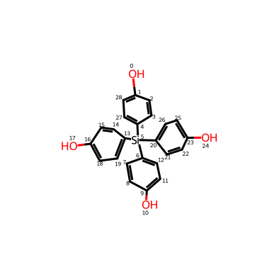 Oc1ccc([Si](c2ccc(O)cc2)(c2ccc(O)cc2)c2ccc(O)cc2)cc1